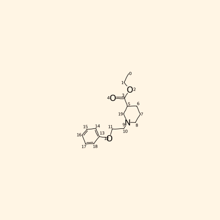 CCOC(=O)C1CCCN(CCOc2ccccc2)C1